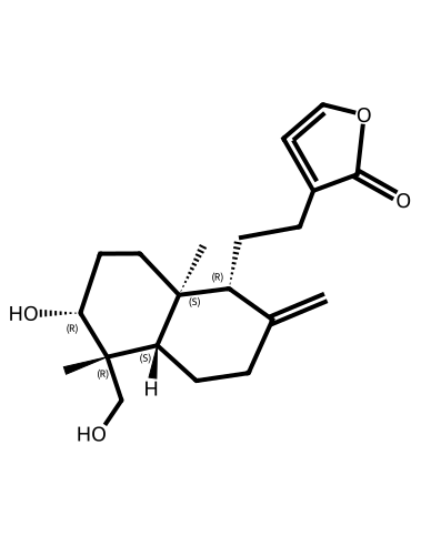 C=C1CC[C@@H]2[C@](C)(CO)[C@H](O)CC[C@@]2(C)[C@@H]1CCC1=C=COC1=O